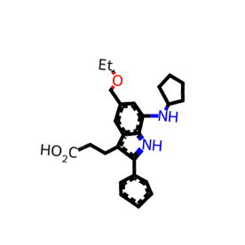 CCOCc1cc(NC2CCCC2)c2[nH]c(-c3ccccc3)c(CCC(=O)O)c2c1